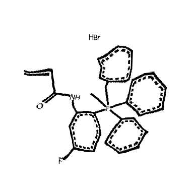 Br.C=CC(=O)Nc1cc(F)ccc1P(C)(c1ccccc1)(c1ccccc1)c1ccccc1